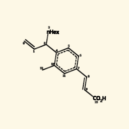 C=CC(CCCCCC)c1ccc(C=CC(=O)O)cc1C